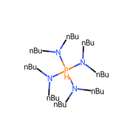 CCCCN(CCCC)[PH](N(CCCC)CCCC)(N(CCCC)CCCC)N(CCCC)CCCC